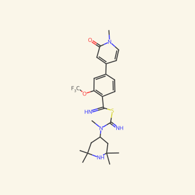 CN(C(=N)SC(=N)c1ccc(-c2ccn(C)c(=O)c2)cc1OC(F)(F)F)C1CC(C)(C)NC(C)(C)C1